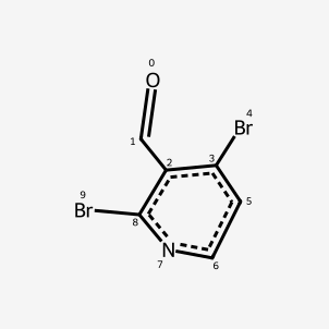 O=Cc1c(Br)ccnc1Br